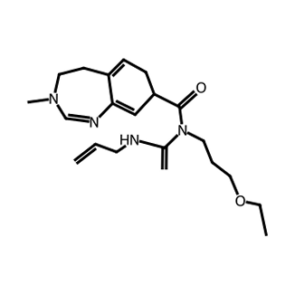 C=CCNC(=C)N(CCCOCC)C(=O)C1C=C2N=CN(C)CCC2=CC1